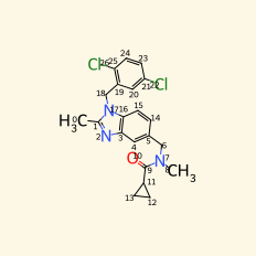 Cc1nc2cc(CN(C)C(=O)C3CC3)ccc2n1Cc1cc(Cl)ccc1Cl